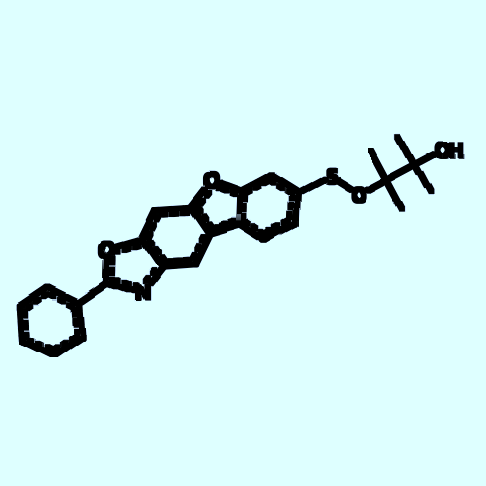 CC(C)(O)C(C)(C)OSc1ccc2c(c1)oc1cc3oc(-c4ccccc4)nc3cc12